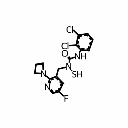 O=C(Nc1cccc(Cl)c1Cl)N(S)Cc1cc(F)cnc1N1CCC1